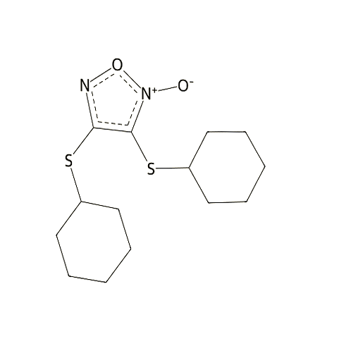 [O-][n+]1onc(SC2CCCCC2)c1SC1CCCCC1